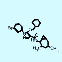 CC1CC(C)C(NC(=O)c2cnn(-c3cccc(Br)c3)c2OCC2CCCCC2)C2CC2C1